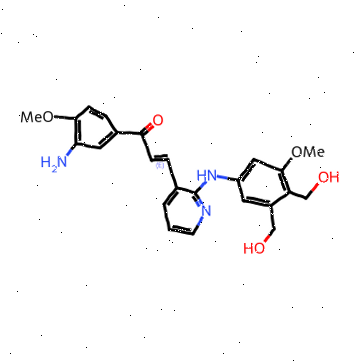 COc1ccc(C(=O)/C=C/c2cccnc2Nc2cc(CO)c(CO)c(OC)c2)cc1N